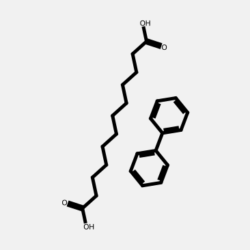 O=C(O)CCCCCCCCCCC(=O)O.c1ccc(-c2ccccc2)cc1